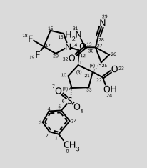 Cc1cccc(S(=O)(=O)[C@@H]2C[C@@H](C(=O)N3CCC(F)(F)C3)[C@](C(=O)O)(C3CC3(C#N)C(N)=O)C2)c1